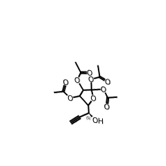 C#C[C@H](O)C1OC(OC(C)=O)(OC(C)=O)C(OC(C)=O)C1OC(C)=O